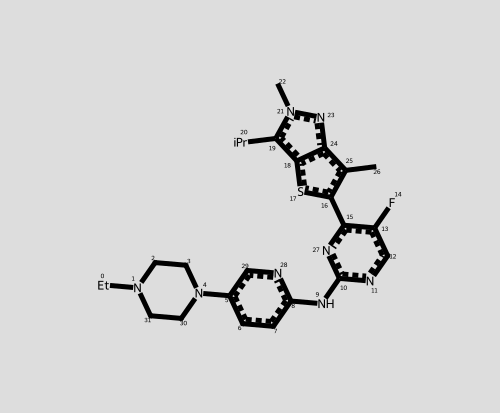 CCN1CCN(c2ccc(Nc3ncc(F)c(-c4sc5c(C(C)C)n(C)nc5c4C)n3)nc2)CC1